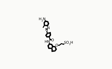 Cc1cc(N)ccc1N=Nc1ccc(C(=O)Nc2ccc3cccc(OCCCS(=O)(=O)O)c3c2)cc1